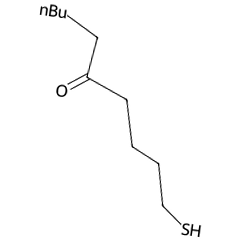 CCCCCC(=O)CCCCS